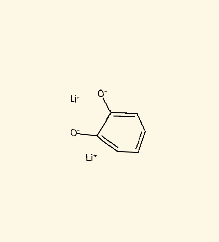 [Li+].[Li+].[O-]c1ccccc1[O-]